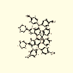 CC(C)(C)c1ccc(N(c2ccc(C(C)(C)C)cc2)c2cc3c(c4oc(C5CCCCC5)nc24)-c2c(cc(N(c4ccc(C(C)(C)C)cc4)c4ccc(C(C)(C)C)cc4)c4nc(C5CCCCC5)oc24)C32c3ccccc3-c3ccccc32)cc1